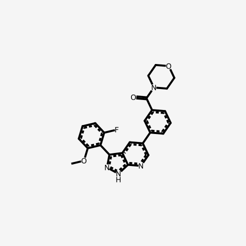 COc1cccc(F)c1-c1n[nH]c2ncc(-c3cccc(C(=O)N4CCOCC4)c3)cc12